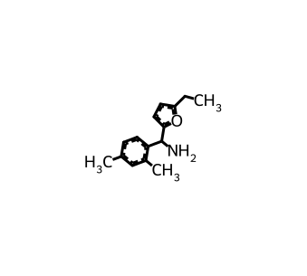 CCc1ccc(C(N)c2ccc(C)cc2C)o1